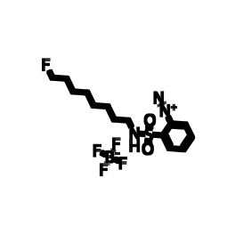 F[B-](F)(F)F.N#[N+]c1ccccc1S(=O)(=O)NCCCCCCCCF